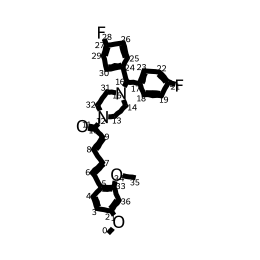 COc1ccc(C=CC=CC(=O)N2CCN(C(c3ccc(F)cc3)c3ccc(F)cc3)CC2)c(OC)c1